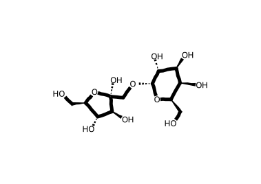 OC[C@H]1O[C@H](OC[C@]2(O)O[C@H](CO)[C@@H](O)[C@@H]2O)[C@H](O)[C@@H](O)[C@H]1O